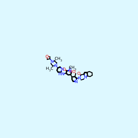 CC1CN(c2ccc(Nc3cc(-c4ccnc(N5CCn6c(cc7c6CCCC7)C5=O)c4CO)cn(C)c3=O)nc2)[C@@H](C)CN1C1COC1